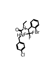 CCN(C(=O)NCc1ccc(Cl)cc1)[C@@H](c1ccccc1Br)C(F)(F)F